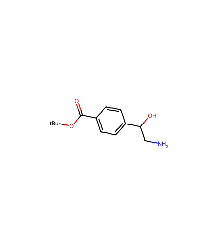 CC(C)(C)OC(=O)c1ccc(C(O)CN)cc1